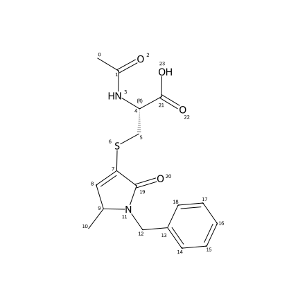 CC(=O)N[C@@H](CSC1=CC(C)N(Cc2ccccc2)C1=O)C(=O)O